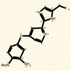 CNc1ccc(Oc2ccnc(-c3ncc(CF)[nH]3)c2)cc1N